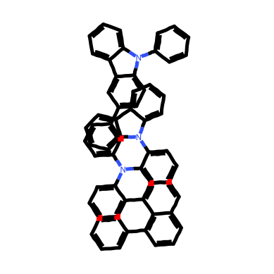 c1ccc(-c2cccc3cccc(-c4ccccc4N(c4cccc(-c5ccc6c(c5)c5ccccc5n6-c5ccccc5)c4)c4ccccc4-n4c5ccccc5c5ccccc54)c23)cc1